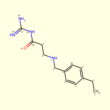 CCc1ccc(CNCCC(=O)NC(=N)N)cc1